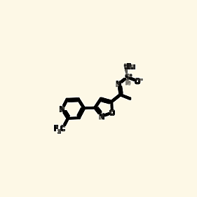 CC(=N[S@@+]([O-])C(C)(C)C)c1cc(-c2ccnc(C(F)(F)F)c2)no1